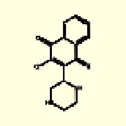 O=C1C(Cl)=C(C2CNCCN2)C(=O)c2ccccc21